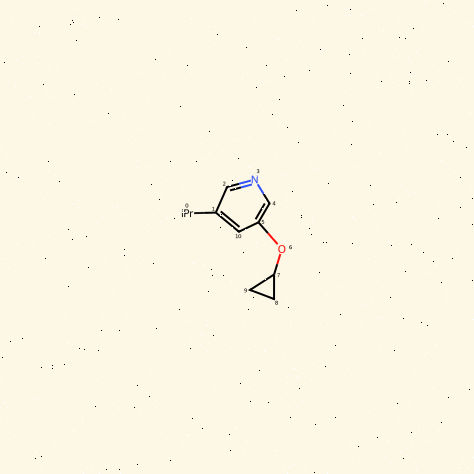 CC(C)c1cncc(OC2CC2)c1